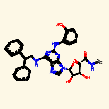 CCNC(=O)[C@H]1O[C@@H](n2cnc3c(NCC(c4ccccc4)c4ccccc4)nc(Nc4ccccc4O)nc32)[C@H](O)[C@@H]1O